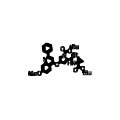 CCC1CC1(NC(=O)C1CC(Oc2cc(-c3ccccc3)nc3cc(OC)ccc23)CN1C(=O)OC(C)(C)C)C(=O)OC(C)(C)C